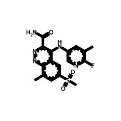 Cc1cc(Nc2c(C(N)=O)nnc3c(C)cc(S(C)(=O)=O)cc23)cnc1F